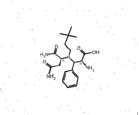 CC(C)(C)CCN(C(c1ccccc1)[C@H](N)C(=O)O)[C@@H](CC(N)=O)C(N)=O